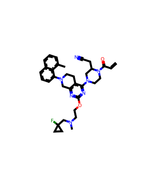 C=CC(=O)N1CCN(c2nc(OCCN(C)CC3(F)CC3)nc3c2CCN(c2cccc4cccc(C)c24)C3)CC1CC#N